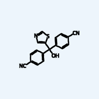 N#Cc1ccc(C(O)(c2ccc(C#N)cc2)c2cncs2)cc1